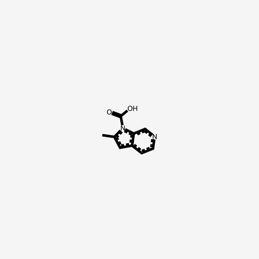 Cc1cc2ccncc2n1C(=O)O